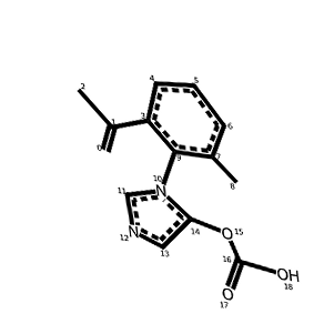 C=C(C)c1cccc(C)c1-n1cncc1OC(=O)O